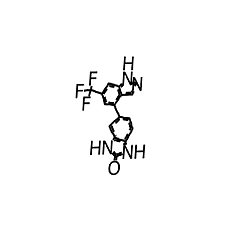 O=c1[nH]c2ccc(-c3cc(C(F)(F)F)cc4[nH]ncc34)cc2[nH]1